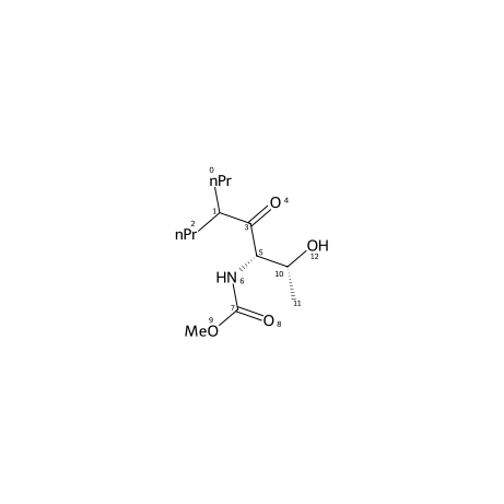 CCCC(CCC)C(=O)[C@@H](NC(=O)OC)[C@@H](C)O